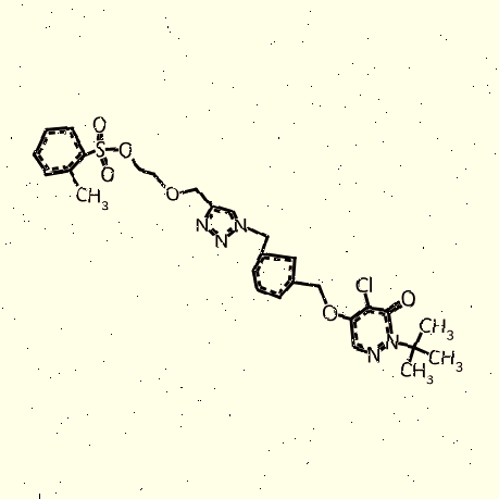 Cc1ccccc1S(=O)(=O)OCCOCc1cn(Cc2cccc(COc3cnn(C(C)(C)C)c(=O)c3Cl)c2)nn1